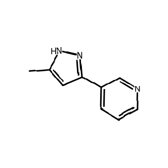 Cc1cc(-c2cccnc2)n[nH]1